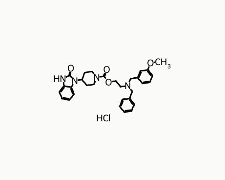 COc1cccc(CN(CCOC(=O)N2CCC(n3c(=O)[nH]c4ccccc43)CC2)Cc2ccccc2)c1.Cl